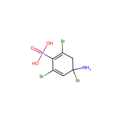 NC1(Br)C=C(Br)C(P(=O)(O)O)=C(Br)C1